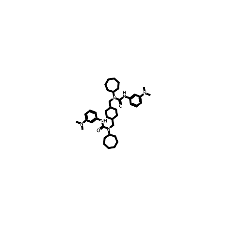 CN(C)c1cccc(NC(=O)N(CC2CCC(CN(C(=O)Nc3cccc(N(C)C)c3)C3CCCCCC3)CC2)C2CCCCCC2)c1